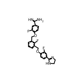 N=C(N)c1ccc(OCc2cccc(COc3ccc(C4=NCCN4)cc3F)c2F)c(F)c1